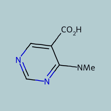 CNc1ncncc1C(=O)O